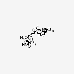 C[C@@H](COCCC(=O)N1C[C@@H]2COCc3cc(C(F)(F)F)cnc3N2C[C@H]1C(F)F)Nc1cn[nH]c(=O)c1C(F)(F)F